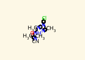 Cc1ccncc1CN(c1ccc(Cl)cc1)C1CCN(C(C)CCNC(=O)c2c(C)cc(C#N)nc2C)CC1